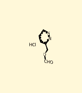 Cl.O=COCc1cccnn1